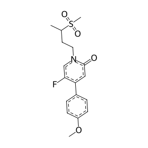 COc1ccc(-c2cc(=O)n(CCC(C)S(C)(=O)=O)cc2F)cc1